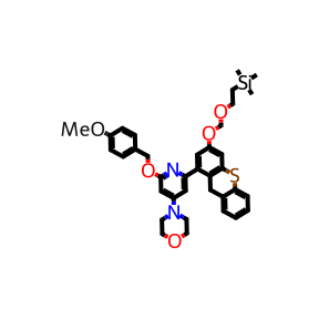 COc1ccc(COc2cc(N3CCOCC3)cc(-c3cc(OCOCC[Si](C)(C)C)cc4c3Cc3ccccc3S4)n2)cc1